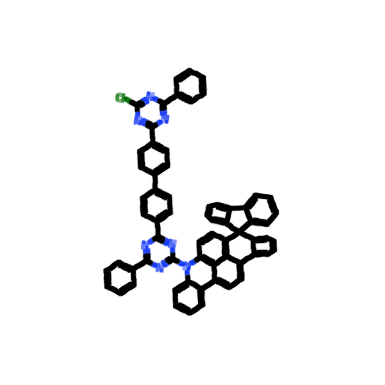 Clc1nc(-c2ccccc2)nc(-c2ccc(-c3ccc(-c4nc(-c5ccccc5)nc(N5c6ccccc6-c6ccc7c8c(ccc5c68)C5(c6ccccc6-c6ccccc65)c5ccccc5-7)n4)cc3)cc2)n1